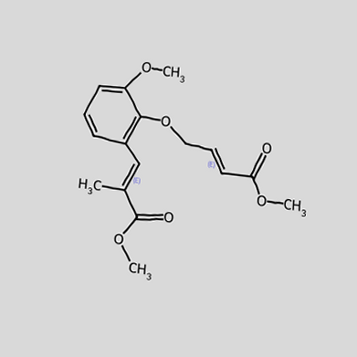 COC(=O)/C=C/COc1c(/C=C(\C)C(=O)OC)cccc1OC